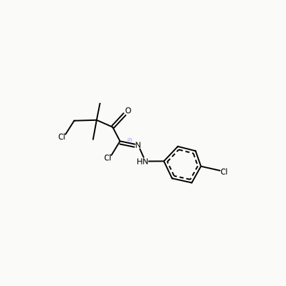 CC(C)(CCl)C(=O)/C(Cl)=N/Nc1ccc(Cl)cc1